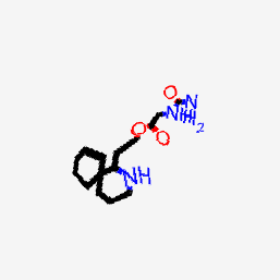 NC(=O)NCC(=O)OCCC1NCCCC12C=CCCC2